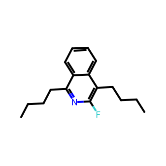 CCCCc1nc(F)c(CCCC)c2ccccc12